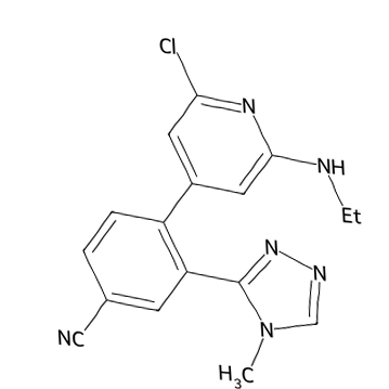 CCNc1cc(-c2ccc(C#N)cc2-c2nncn2C)cc(Cl)n1